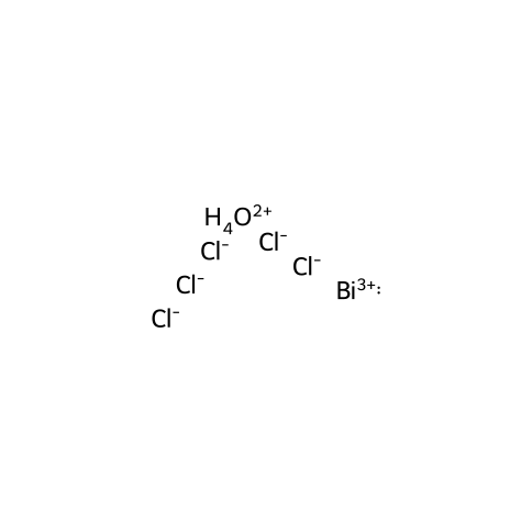 [Bi+3].[Cl-].[Cl-].[Cl-].[Cl-].[Cl-].[OH4+2]